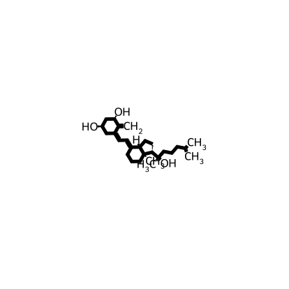 C=C1/C(=C\C=C2/CCC[C@@]3(C)[C@H]2CC[C@@H]3[C@@](C)(O)CCCC(C)C)C[C@@H](O)C[C@@H]1O